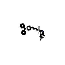 O=C(/C=C\c1ccc(F)nc1)NCCCCC1CCN(C(c2ccccc2)c2ccccc2)CC1